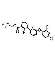 CCOC(=O)c1cccc(-c2cccc(Oc3ccc(Cl)cc3Cl)n2)c1F